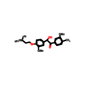 CCC[SiH](CCC)CCOc1ccc(C(O)C(=O)c2ccc(C)c(OC)c2)cc1OC